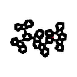 c1ccc(-n2c3ccccc3c3ccc4c5ccccc5n(-c5cccc(-n6c7ccccc7c7ccc8c(c9ccccc9n8-c8cc(-n9c%10ccccc%10c%10ccccc%109)cc(-n9c%10ccccc%10c%10ccccc%109)c8)c76)c5)c4c32)cc1